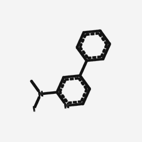 CN(I)c1cc(-c2ccccc2)ccn1